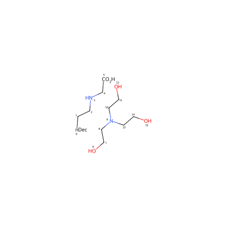 CCCCCCCCCCCCNCC(=O)O.OCCN(CCO)CCO